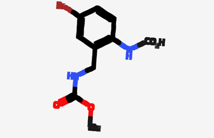 CC(C)(C)OC(=O)NCc1cc(Br)ccc1NC(=O)O